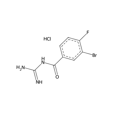 Cl.N=C(N)NC(=O)c1ccc(F)c(Br)c1